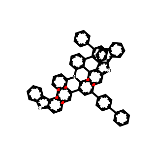 c1ccc(-c2ccc(-c3ccc(N(c4cccc(-c5cccc6oc7ccccc7c56)c4)c4cccc(-c5ccccc5-c5ccccc5)c4-c4cccc5oc6c7ccccc7ccc6c45)c(-c4ccccc4)c3)cc2)cc1